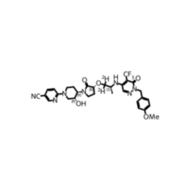 [2H]C([2H])(O[C@@H]1CCN([C@@H]2CCN(c3ccc(C#N)cn3)C[C@H]2O)C1=O)[C@H](C)Nc1cnn(Cc2ccc(OC)cc2)c(=O)c1C(F)(F)F